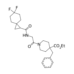 CCOC(=O)C1(Cc2ccccc2)CCN(C(=O)CNC(=O)C2CC23CCC(F)(F)CC3)CC1